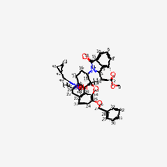 COC(=O)CC1c2ccccc2C(=O)N1[C@@H]1CC[C@@]2(O)[C@H]3Cc4ccc(OCc5ccccc5)c5c4[C@@]2(CCN3CC2CC2)[C@H]1O5